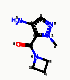 Cn1ncc(N)c1C(=O)N1CCC1